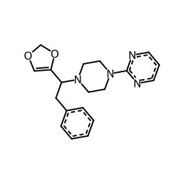 C1=C(C(Cc2ccccc2)N2CCN(c3ncccn3)CC2)OCO1